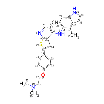 Cc1c(Nc2c(C#N)cnc3sc(-c4ccc(OCCN(C)C)cc4)cc23)ccc2[nH]ccc12